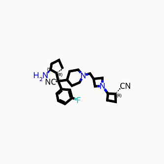 N#C[C@@H]1CCC1N1CC(CN2CCC([C@@](C#N)(c3cccc(F)c3)[C@H]3CCC[C@@H]3N)CC2)C1